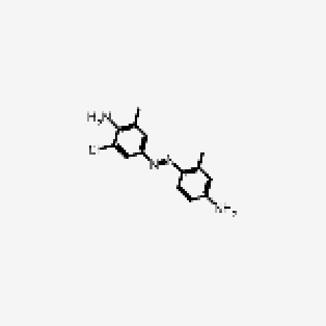 Cc1cc(N)ccc1N=Nc1cc(C)c(N)c(Cl)c1